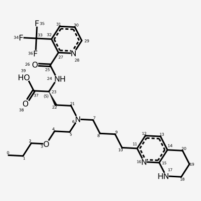 CCCOCCN(CCCCc1ccc2c(n1)NCCC2)CC[C@H](NC(=O)c1ncccc1C(F)(F)F)C(=O)O